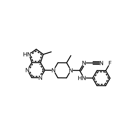 Cc1c[nH]c2ncnc(N3CCN(C(=NC#N)Nc4cccc(F)c4)C(C)C3)c12